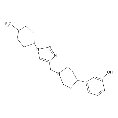 Oc1cccc(C2CCN(Cc3cn(C4CCC(C(F)(F)F)CC4)nn3)CC2)c1